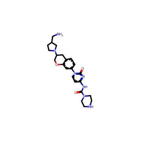 NCC1CCN(C2COc3cc(-n4ccc(NC(=O)N5CCNCC5)nc4=O)ccc3C2)C1